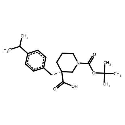 CC(C)c1ccc(C[C@]2(C(=O)O)CCCN(C(=O)OC(C)(C)C)C2)cc1